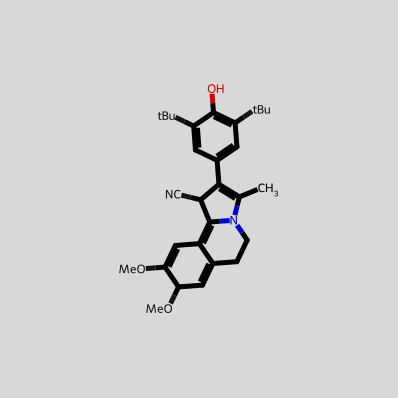 COC1=CC2=C3C(C#N)C(c4cc(C(C)(C)C)c(O)c(C(C)(C)C)c4)=C(C)N3CCC2=CC1OC